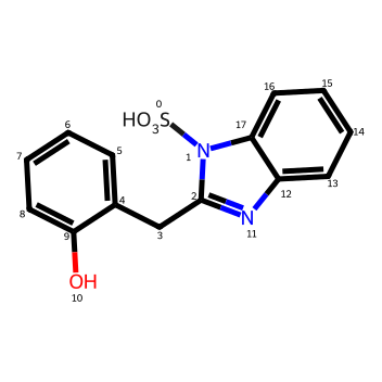 O=S(=O)(O)n1c(Cc2ccccc2O)nc2ccccc21